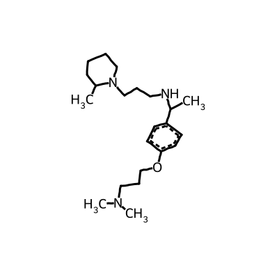 CC(NCCCN1CCCCC1C)c1ccc(OCCCN(C)C)cc1